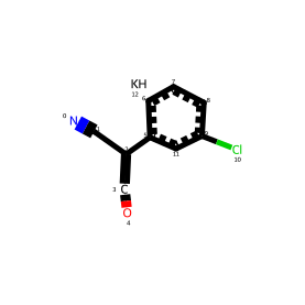 N#CC(=C=O)c1cccc(Cl)c1.[KH]